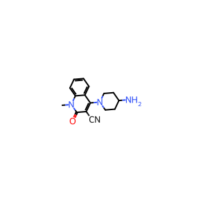 Cn1c(=O)c(C#N)c(N2CCC(N)CC2)c2ccccc21